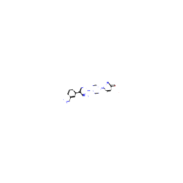 CN(C)Cc1cccc(-c2cnc(N3CCN(c4ccc(C=O)cn4)CC3)nc2)c1